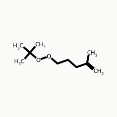 C=C(C)CCCOOC(C)(C)C